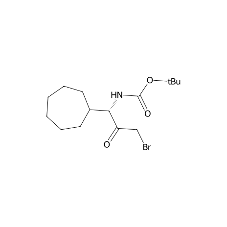 CC(C)(C)OC(=O)N[C@H](C(=O)CBr)C1CCCCCC1